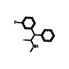 [CH2]C(NC)C(c1ccccc1)c1cccc(F)c1